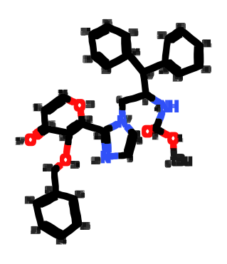 CC(C)(C)OC(=O)NC(Cn1ccnc1-c1occc(=O)c1OCc1ccccc1)C(c1ccccc1)c1ccccc1